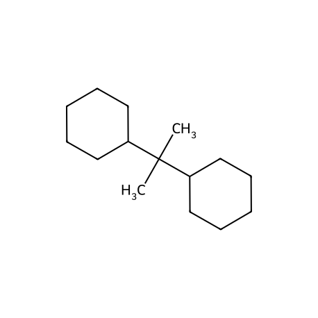 CC(C)(C1CCCCC1)C1CCCCC1